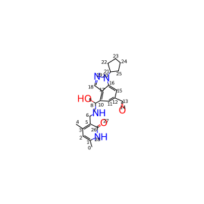 Cc1cc(C)c(CNC(O)c2cc(C=O)cc3c2cnn3C2CCCC2)c(=O)[nH]1